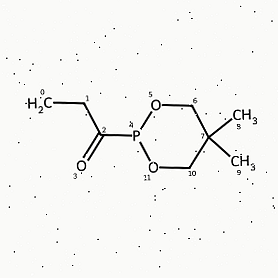 [CH2]CC(=O)P1OCC(C)(C)CO1